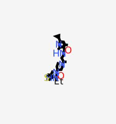 CCNC(=O)N(Cc1ccsc1)C1CCN(C(C)CCNC(=O)c2c(C)cc(C3CC3)nc2C)CC1